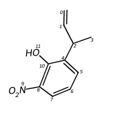 C=CC(C)c1cccc([N+](=O)[O-])c1O